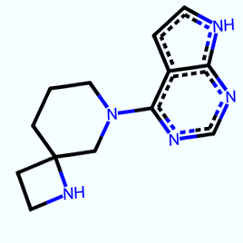 c1nc(N2CCCC3(CCN3)C2)c2cc[nH]c2n1